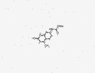 COC(=O)Nc1ccc2c(C)cc(=O)oc2c1